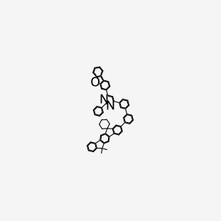 CC1(C)c2ccccc2-c2cc3c(cc21)-c1ccc(-c2cccc(-c4cccc(-c5cc(-c6ccc7c(c6)oc6ccccc67)nc(-c6ccccc6)n5)c4)c2)cc1C31CCCCC1